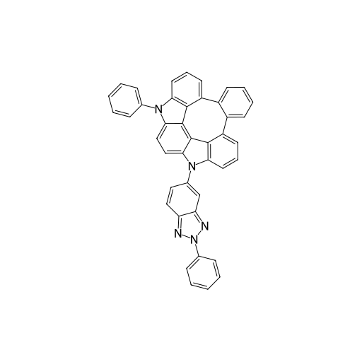 c1ccc(-n2nc3ccc(-n4c5cccc6c7ccccc7c7cccc8c7c7c(c65)c4ccc7n8-c4ccccc4)cc3n2)cc1